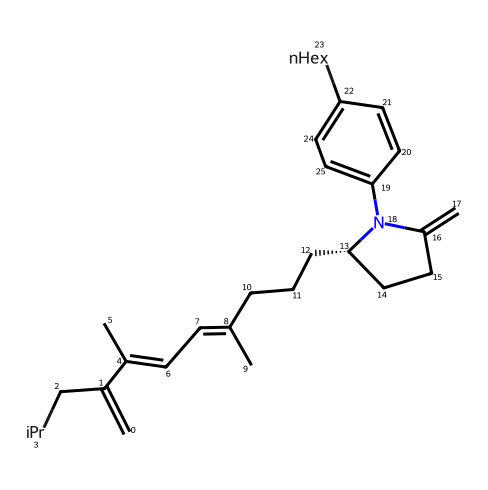 C=C(CC(C)C)/C(C)=C/C=C(\C)CCC[C@H]1CCC(=C)N1c1ccc(CCCCCC)cc1